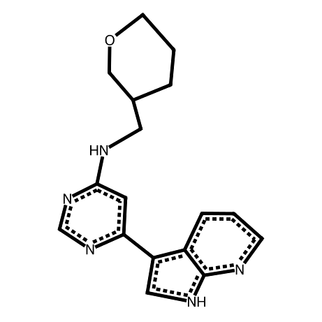 c1cnc2[nH]cc(-c3cc(NCC4CCCOC4)ncn3)c2c1